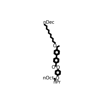 CCCCCCCCCCCCCCCCCCCCOC(C)c1ccc(-c2ccc(C(=O)Oc3ccc(OC(CCC)CCCCCCCC)cc3)cc2)cc1